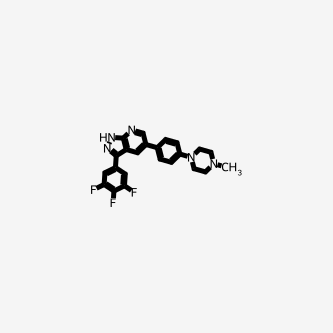 CN1CCN(c2ccc(-c3cnc4[nH]nc(-c5cc(F)c(F)c(F)c5)c4c3)cc2)CC1